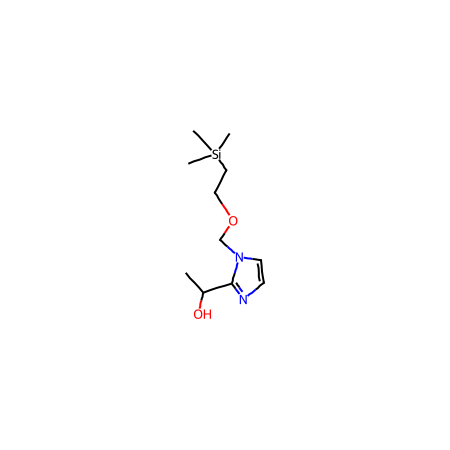 CC(O)c1nccn1COCC[Si](C)(C)C